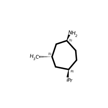 CC(C)[C@@H]1CC[C@H](N)C[C@@H](C)C1